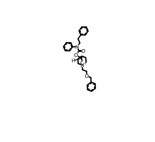 O=C(O[C@H]1C[N+]2(CCOCc3ccccc3)CCC1CC2)N(CCc1ccccc1)c1ccccc1